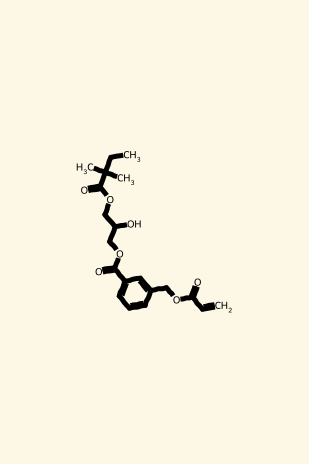 C=CC(=O)OCc1cccc(C(=O)OCC(O)COC(=O)C(C)(C)CC)c1